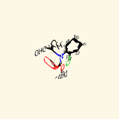 CC(C=O)N(C(=O)OC(C)(C)C)c1ccccc1Cl